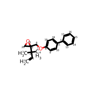 C=CC(C)(C)C1(COc2ccc(-c3ccccc3)cc2)CO1